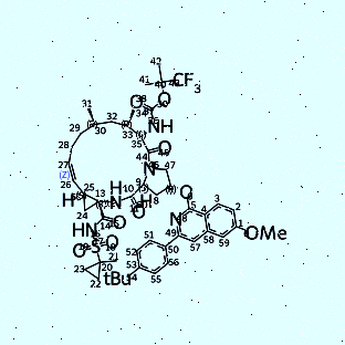 COc1ccc2c(O[C@@H]3C[C@H]4C(=O)N[C@]5(C(=O)NS(=O)(=O)C6(C)CC6)C[C@H]5/C=C\CC[C@@H](C)C[C@@H](C)[C@H](NC(=O)OC(C)(C)C(F)(F)F)C(=O)N4C3)nc(-c3ccc(C(C)(C)C)cc3)cc2c1